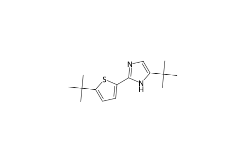 CC(C)(C)c1cnc(-c2ccc(C(C)(C)C)s2)[nH]1